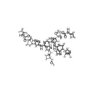 COCC1CCN1Cc1cn2c(Nc3cc([C@@H]4CC[C@H](OC(=O)NC5(C)CC5)[C@H]4F)[nH]n3)ncc(-[n+]3[nH]c([C@@H]4OC[C@H](OC(=O)NC56CC(C5)C6)[C@@H]4F)cc3Nc3nc(C)c(-c4cnn(C)c4C)c4nccn34)c2n1